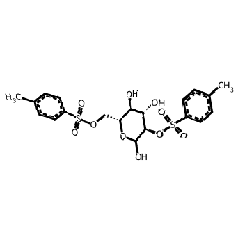 Cc1ccc(S(=O)(=O)OC[C@H]2OC(O)[C@H](OS(=O)(=O)c3ccc(C)cc3)[C@@H](O)[C@@H]2O)cc1